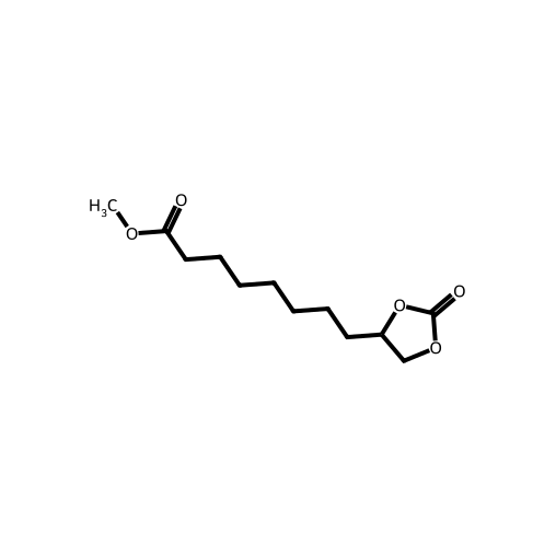 COC(=O)CCCCCCCC1COC(=O)O1